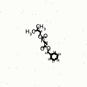 CC(C)COC(=O)N=NC(=O)OCc1ccccc1